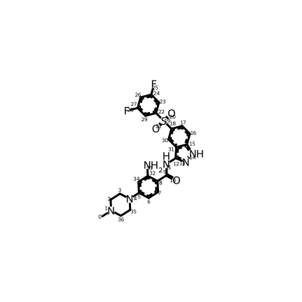 CN1CCN(c2ccc(C(=O)Nc3n[nH]c4ccc(S(=O)(=O)c5cc(F)cc(F)c5)cc34)c(N)c2)CC1